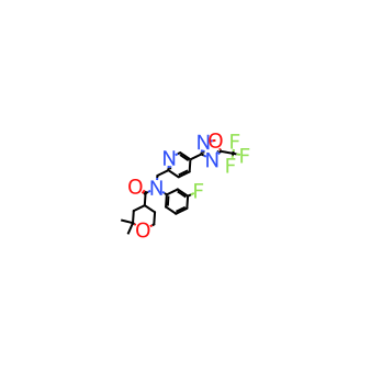 CC1(C)CC(C(=O)N(Cc2ccc(-c3noc(C(F)(F)F)n3)cn2)c2cccc(F)c2)CCO1